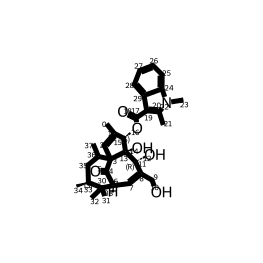 CC1=CC23C(=O)[C@@H](C=C(CO)[C@@H](O)[C@]2(O)[C@H]1OC(=O)c1c(C)n(C)c2ccccc12)C(C)(C)[C@@H](C)CC3C